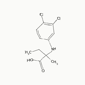 CCC(C)(Nc1ccc(Cl)c(Cl)c1)C(=O)O